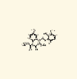 CC(C)(C)OC(=O)N(C(=O)OC(C)(C)C)c1ncc(Br)cc1OCCc1c(F)ccc(F)c1Cl